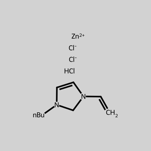 C=CN1C=CN(CCCC)C1.Cl.[Cl-].[Cl-].[Zn+2]